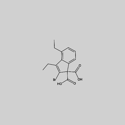 CCC1=C(Br)C(C(=O)O)(C(=O)O)c2cccc(CC)c21